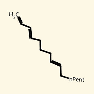 C=CC=CCCCC=CCCCCCC